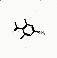 CC(=O)c1c(C)cc(N)cc1C